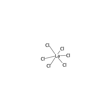 [Cl][La]([Cl])([Cl])([Cl])([Cl])[Cl]